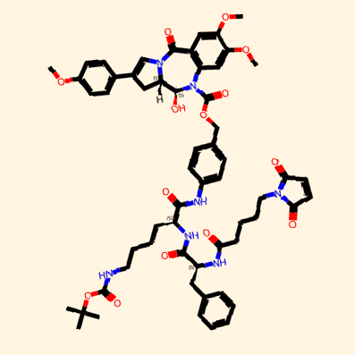 COc1ccc(C2=CN3C(=O)c4cc(OC)c(OC)cc4N(C(=O)OCc4ccc(NC(=O)[C@H](CCCCNC(=O)OC(C)(C)C)NC(=O)[C@H](Cc5ccccc5)NC(=O)CCCCN5C(=O)C=CC5=O)cc4)[C@@H](O)[C@@H]3C2)cc1